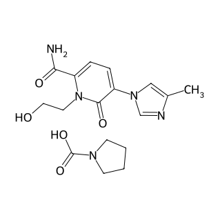 Cc1cn(-c2ccc(C(N)=O)n(CCO)c2=O)cn1.O=C(O)N1CCCC1